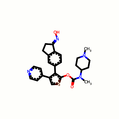 CN1CCC(N(C)C(=O)Oc2scc(-c3ccncc3)c2-c2ccc3c(c2)CCC3=NO)CC1